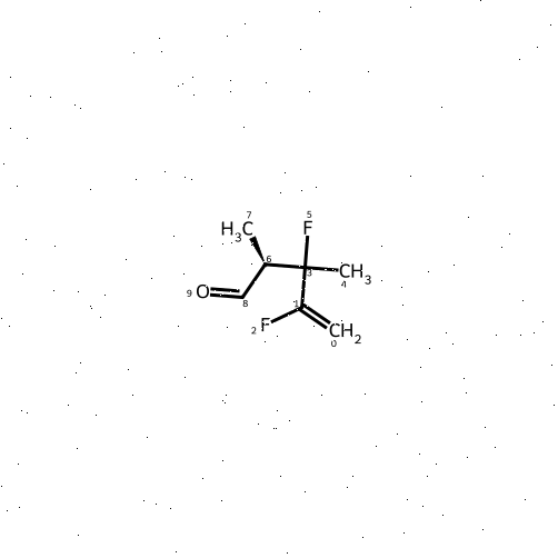 C=C(F)C(C)(F)[C@H](C)C=O